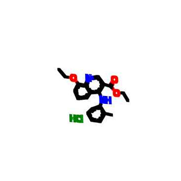 CCOC(=O)c1cnc2c(OCC)cccc2c1Nc1ccccc1C.Cl